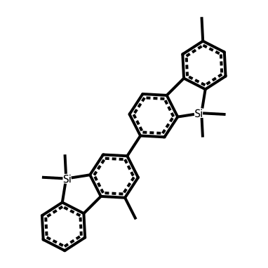 Cc1ccc2c(c1)-c1ccc(-c3cc(C)c4c(c3)[Si](C)(C)c3ccccc3-4)cc1[Si]2(C)C